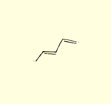 [CH]C=CC=[CH]